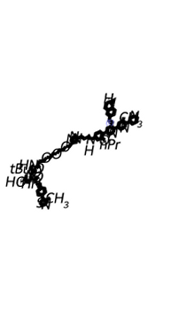 CCCOc1cc(NCCCn2cc(COCCOCCOCCC(=O)N[C@H](C(=O)N3C[C@H](O)C[C@H]3C(=O)NCc3ccc(-c4scnc4C)cc3)C(C)(C)C)nn2)ccc1-c1cnc(-c2cnc(-c3cccnc3)c(C)c2)c(/C=C/c2ccc3c(c2)C=C[C@H]2CC32)c1